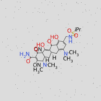 CC(C)S(=O)(=O)NCc1cc(N(C)C)c2c(c1O)C(=O)C1=C(O)[C@]3(N=O)C(=O)C(C(N)=O)=C(N=O)[C@@H](N(C)C)[C@@H]3C[C@@H]1C2